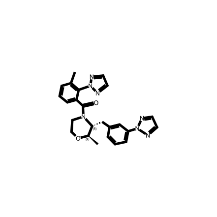 Cc1cccc(C(=O)N2CCO[C@H](C)[C@H]2Cc2cccc(-n3nccn3)c2)c1-n1nccn1